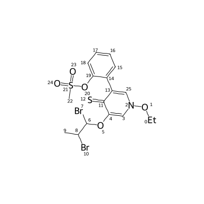 CCOn1cc(OC(Br)C(C)Br)c(=S)c(-c2ccccc2OS(C)(=O)=O)c1